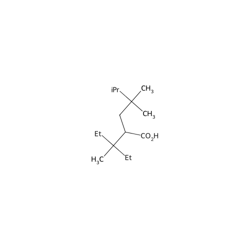 CCC(C)(CC)C(CC(C)(C)C(C)C)C(=O)O